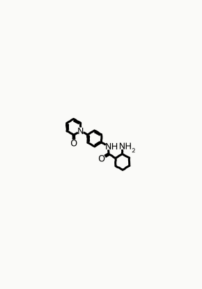 NC1CCCCC1C(=O)Nc1ccc(-n2ccccc2=O)cc1